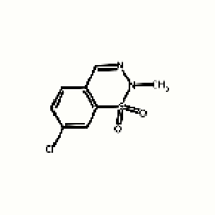 CN1N=Cc2ccc(Cl)cc2S1(=O)=O